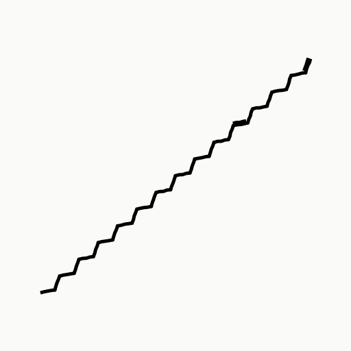 C=CCCCCCC=CCCCCCCCCCCCCCCCCCCCC